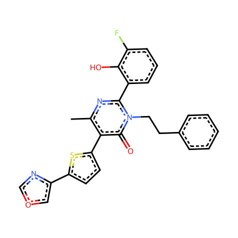 Cc1nc(-c2cccc(F)c2O)n(CCc2ccccc2)c(=O)c1-c1ccc(-c2cocn2)s1